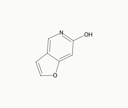 Oc1cc2occc2cn1